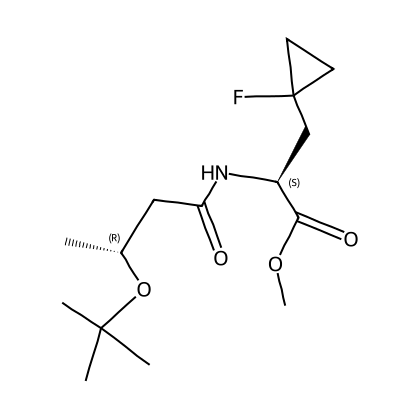 COC(=O)[C@H](CC1(F)CC1)NC(=O)C[C@@H](C)OC(C)(C)C